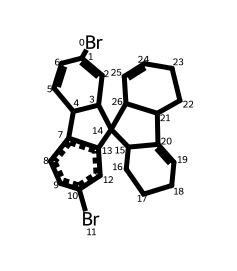 BrC1=CC2C(C=C1)c1ccc(Br)cc1C21C2CCCC=C2C2CCC=CC21